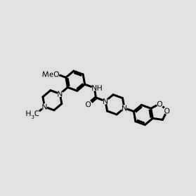 COc1ccc(NC(=O)N2CCN(c3ccc4c(c3)OOC4)CC2)cc1N1CCN(C)CC1